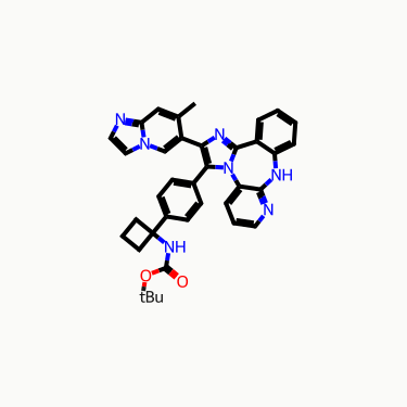 Cc1cc2nccn2cc1-c1nc2n(c1-c1ccc(C3(NC(=O)OC(C)(C)C)CCC3)cc1)-c1cccnc1Nc1ccccc1-2